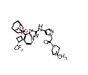 CN1CCN(C(=O)Cn2cc(Nc3nc4c(N5CC6CCCC(C5)N6C(=O)[C@H]5C[C@@H](C(F)(F)F)C5)cccn4n3)cn2)CC1